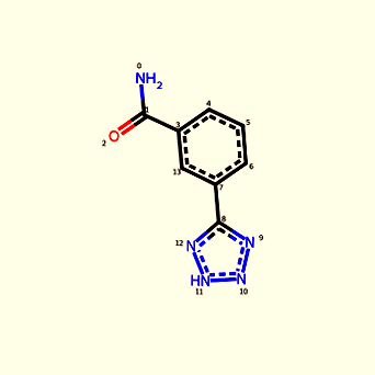 NC(=O)c1cccc(-c2nn[nH]n2)c1